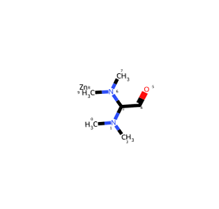 CN(C)C(C=O)N(C)C.[Zn]